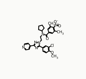 COc1ccc(-c2nc(-c3ccncc3)nn2CCN(C(=O)c2cc(C)c([N+](=O)[O-])c(C)c2)C2CCCC2)cc1Cl